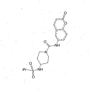 CC(C)S(=O)(=O)NC1CCN(C(=O)Nc2ccc3oc(=O)ccc3c2)CC1